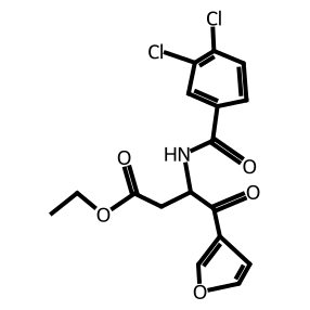 CCOC(=O)CC(NC(=O)c1ccc(Cl)c(Cl)c1)C(=O)c1ccoc1